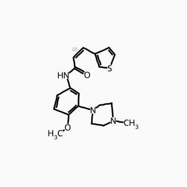 COc1ccc(NC(=O)/C=C\c2ccsc2)cc1N1CCN(C)CC1